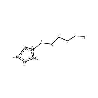 CCCCCCn1[c]nnn1